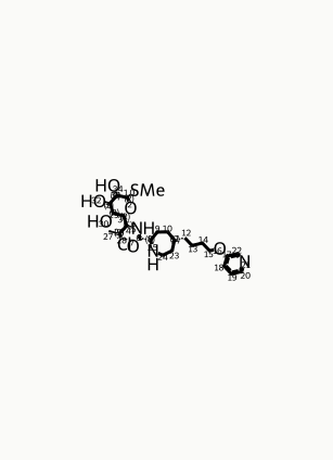 CS[C@H]1O[C@H]([C@H](NC(=O)[C@@H]2CC[C@H](CCCCOc3cccnc3)CCN2)[C@H](C)Cl)[C@H](O)[C@H](O)[C@H]1O